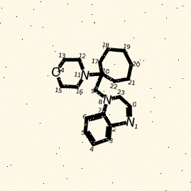 C1=Nc2ccccc2N(CC2(N3CCOCC3)CCCCCC2)C1